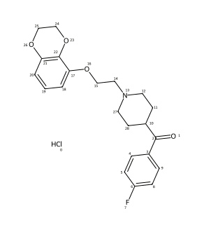 Cl.O=C(c1ccc(F)cc1)C1CCN(CCOc2cccc3c2OCCO3)CC1